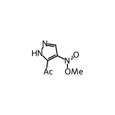 CO[N+](=O)c1cn[nH]c1C(C)=O